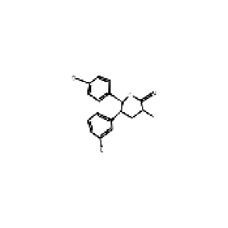 CC1C[C@@H](c2cccc(Cl)c2)[C@@H](c2ccc(Cl)cc2)OC1=O